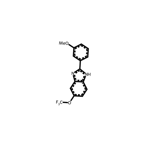 COc1cccc(-c2nc3cc(OC(F)(F)F)ccc3[nH]2)c1